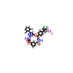 Cc1cccc(C)c1-c1cc2nc(n1)NS(=O)(=O)c1cccc(c1)C(=O)NCC(c1ccc(C(C)(C)C(F)(F)P)cc1)O2